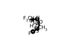 CC(C)(CNC(=O)c1cncc(-c2noc(C(F)(F)F)n2)c1)c1csc(-c2ccc(F)cc2)n1